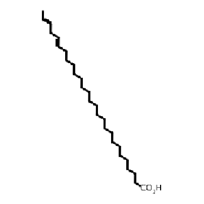 CC=CCC=CCCCCCCCCCCCCCCCCCCCCC(=O)O